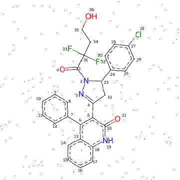 O=C(N1N=C(c2c(-c3ccccc3)c3ccccc3[nH]c2=O)CC1c1ccc(Cl)cc1)C(F)(F)CCO